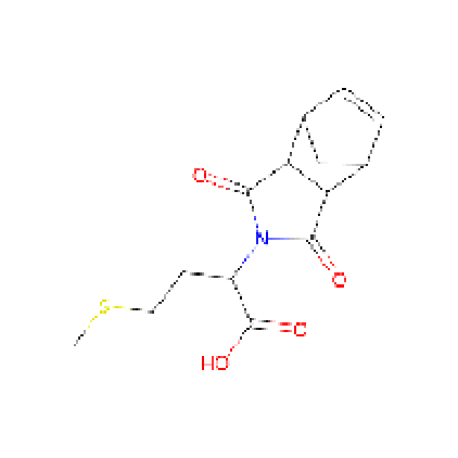 CSCCC(C(=O)O)N1C(=O)C2C3C=CC(C3)C2C1=O